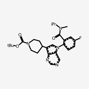 CC(C)N(C)C(=O)c1cc(F)ccc1-n1cc(C2CCN(C(=O)OC(C)(C)C)CC2)c2ncncc21